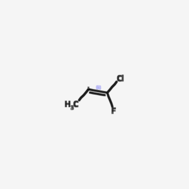 C/[C]=C(\F)Cl